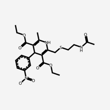 CCOC(=O)C1=C(C)NC(CSCCNC(C)=O)=C(C(=O)OCC)C1c1cccc([N+](=O)[O-])c1